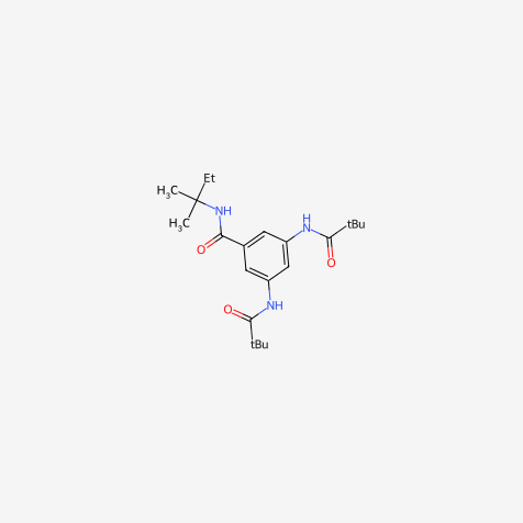 CCC(C)(C)NC(=O)c1cc(NC(=O)C(C)(C)C)cc(NC(=O)C(C)(C)C)c1